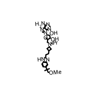 COCC(C)(C)c1ccc2[nH]c(CCC3CC(N(CC4OC(n5cnc6c(N)ncnc65)C(O)C4O)C(C)C)C3)nc2c1